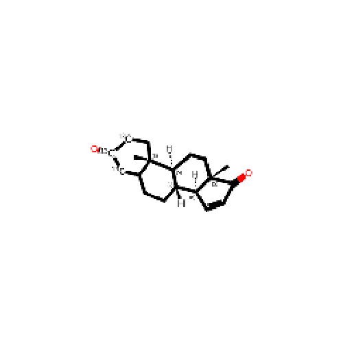 C[C@]12C[13CH2][13C](=O)[13CH2]C1CC[C@@H]1[C@@H]2CC[C@]2(C)C(=O)C=C[C@@H]12